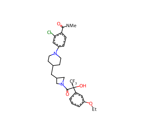 CCOc1cccc([C@@](O)(C(=O)N2CC(CC3CCN(c4ccc(C(=O)NC)c(Cl)c4)CC3)C2)C(F)(F)F)c1